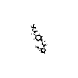 CC(C)(C)OC(=O)NN1CCC(NCC(=O)N2CCC[C@H]2C#N)CC1